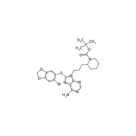 CC(C)(C)OC(=O)N1CCCCC1CCCn1c(Sc2cc3c(cc2Br)OCO3)nc2c(N)ncnc21